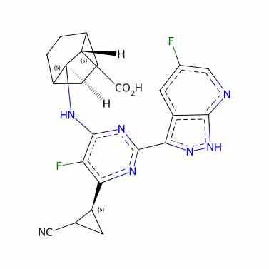 N#CC1C[C@@H]1c1nc(-c2n[nH]c3ncc(F)cc23)nc(N[C@H]2C3CCC(CC3)[C@@H]2C(=O)O)c1F